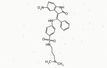 CN(C)CCCNS(=O)(=O)c1ccc(NC(=C2C(=O)Nc3ccc([N+](=O)[O-])cc32)c2ccccc2)cc1